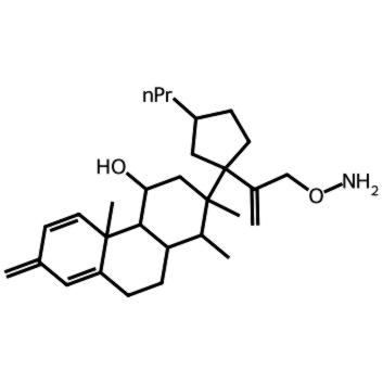 C=C1C=CC2(C)C(=C1)CCC1C2C(O)CC(C)(C2(C(=C)CON)CCC(CCC)C2)C1C